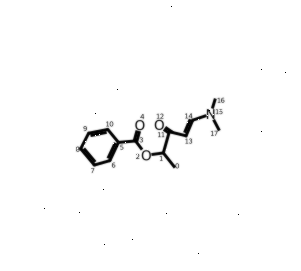 CC(OC(=O)c1ccccc1)C(=O)C=CN(C)C